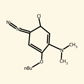 CCCCOC1=CC(=[N+]=[N-])C(Cl)C=C1N(C)C